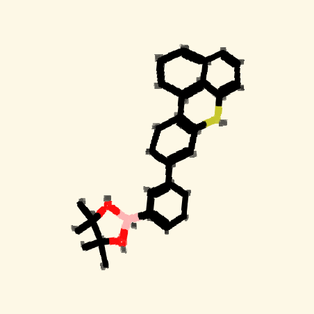 CC1(C)OB(C2=CCCC(C3=CC4=C(CC3)C3=c5c(cccc5=CCC3)S4)=C2)OC1(C)C